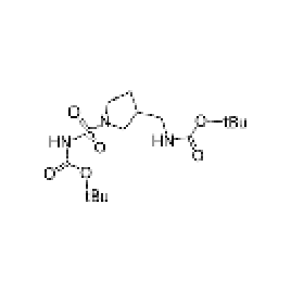 CC(C)(C)OC(=O)NCC1CCN(S(=O)(=O)NC(=O)OC(C)(C)C)C1